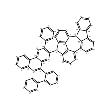 c1ccc(-c2ccccc2-c2cc3ccccc3c3nc(-c4ccccc4)c(-n4c5cccc6c7cccc8c9ccccc9n(c9cccc4c9c65)c78)nc23)cc1